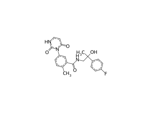 Cc1ccc(-n2c(=O)cc[nH]c2=O)cc1C(=O)NCC(C)(O)c1ccc(F)cc1